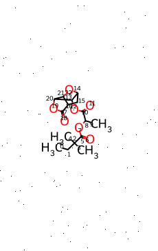 CCC(C)(C)C(=O)OC(C)C(=O)OC1C2CC3C(=O)OC1C3O2